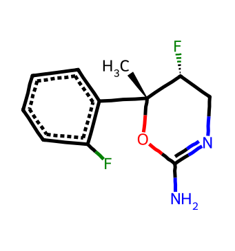 C[C@]1(c2ccccc2F)OC(N)=NC[C@H]1F